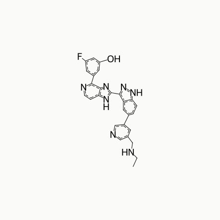 CCNCc1cncc(-c2ccc3[nH]nc(-c4nc5c(-c6cc(O)cc(F)c6)nccc5[nH]4)c3c2)c1